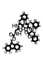 O=C(CNC(=O)OCC1c2ccccc2-c2ccccc21)N[C@@H](Cc1ccccc1)C(=O)N[C@@H](Cc1ccccc1)C(=O)N[C@@H](Cc1ccccc1)C(=O)O